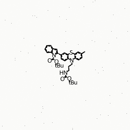 Cc1ccc2c(c1)Sc1cc(-c3cc4ccccc4n3C(=O)OC(C)(C)C)ccc1N2CCCNC(=O)OC(C)(C)C